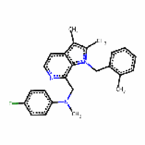 Cc1ccccc1Cn1c(C)c(C)c2ccnc(CN(C)c3ccc(F)cc3)c21